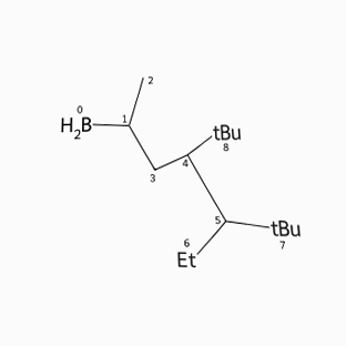 BC(C)CC(C(CC)C(C)(C)C)C(C)(C)C